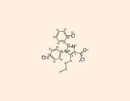 CCCCc1c(C(=O)Cl)nc(-c2ccccc2Cl)n1-c1ccc(Cl)cc1